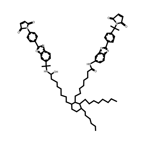 CCCCCCCCC1C(CCCCCC)CCC(CCCCCCCC(O)NC(C)(C)c2ccc3nc(-c4ccc(N5C(=O)C=CC5=O)cc4)oc3c2)C1CCCCCCCC(=O)Nc1ccc2nc(-c3ccc(C(C)(C)N4C(=O)C=CC4=O)cc3)oc2c1